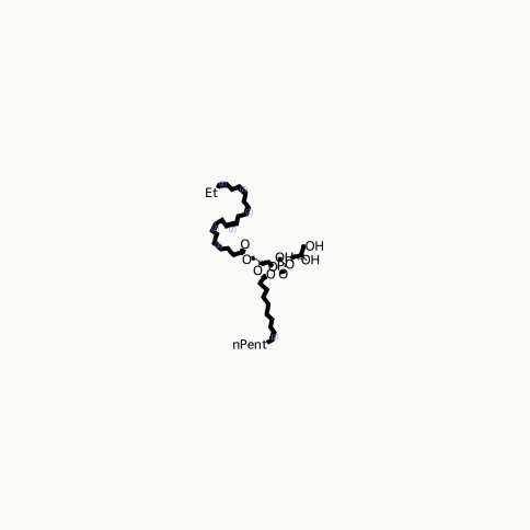 CC/C=C\C/C=C\C/C=C\C/C=C\C/C=C\C/C=C\CCC(=O)OC[C@H](COP(=O)(O)OC[C@@H](O)CO)OC(=O)CCCCCCC/C=C\CCCCC